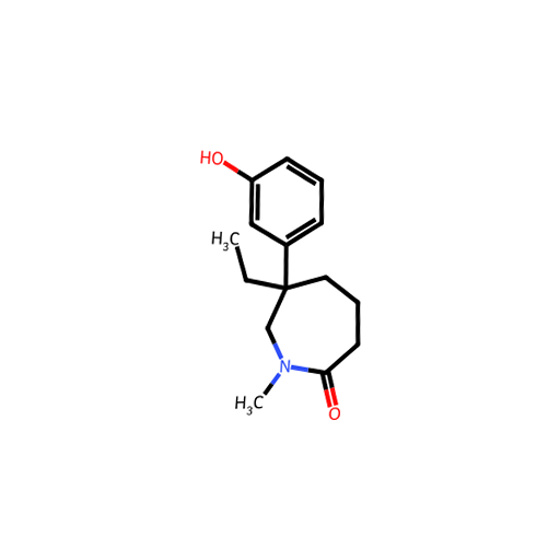 CCC1(c2cccc(O)c2)CCCC(=O)N(C)C1